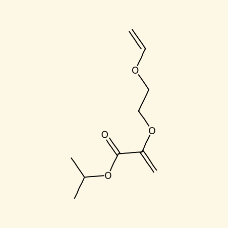 C=COCCOC(=C)C(=O)OC(C)C